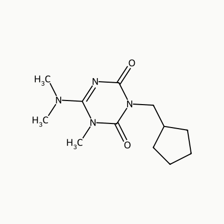 CN(C)c1nc(=O)n(CC2CCCC2)c(=O)n1C